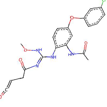 CONC(=NC(=O)CC=C=O)Nc1ccc(Oc2cccc(Cl)c2)cc1NC(C)=O